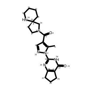 Cc1c(C(=O)N2CC[C@@]3(CCCCN3)C2)cnn1-c1nc2c(c(=O)[nH]1)CCC2